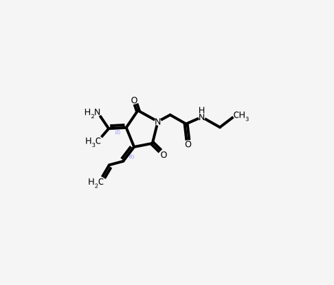 C=C/C=C1/C(=O)N(CC(=O)NCC)C(=O)/C1=C(/C)N